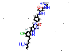 C=C[C@H](N)CCCc1cc(Cl)c(F)c(-c2cc3cn(-c4ccc(CN[C@@H](CO)CCNC(C)=N)cc4)c(=O)nc3[nH]2)c1